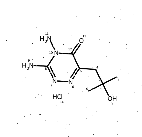 CC(C)(O)Cc1nnc(N)n(N)c1=O.Cl